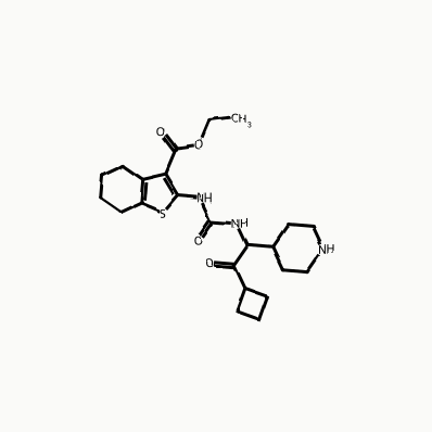 CCOC(=O)c1c(NC(=O)NC(C(=O)C2CCC2)C2CCNCC2)sc2c1CCCC2